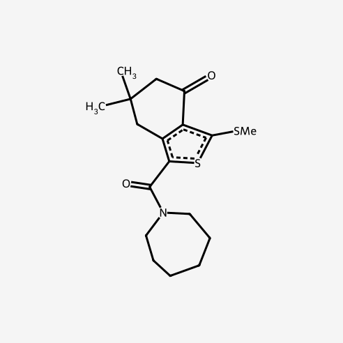 CSc1sc(C(=O)N2CCCCCC2)c2c1C(=O)CC(C)(C)C2